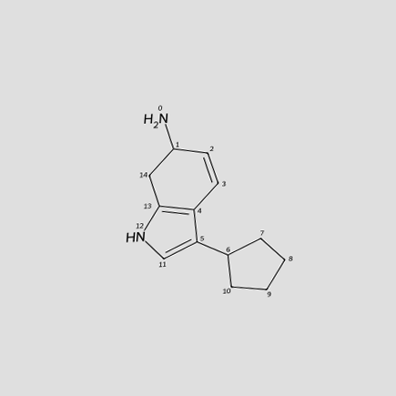 NC1C=Cc2c(C3CCCC3)c[nH]c2C1